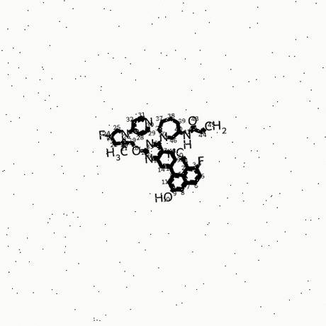 C#Cc1c(F)ccc2cc(O)cc(C3=Cc4nc(OC[C@]5(C)C[C@@H](F)CN5c5ccncc5)nc(N5CCCCC(NC(=O)C=C)C5)c4CC3)c12